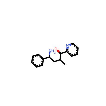 [CH2]C(CC(N)c1ccccc1)C(=O)c1ccccn1